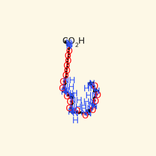 Cn1cc(NC(=O)c2nc(NC(=O)CCNC(=O)c3cc(NC(=O)c4nccn4C)cn3C)cn2C)cc1C(=O)NCCCC(=O)Nc1cn(C)c(C(=O)NCCC(=O)Nc2cc(C(=O)Nc3cn(C)c(C(=O)NCCC(=O)NCCOCCOCCOCCOCCOCCOCCn4cc(CC(=O)O)nn4)n3)n(C)c2)n1